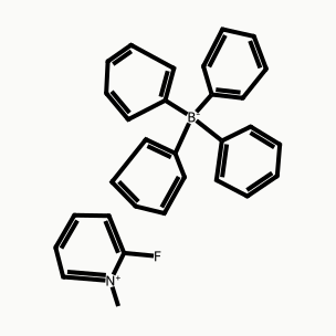 C[n+]1ccccc1F.c1ccc([B-](c2ccccc2)(c2ccccc2)c2ccccc2)cc1